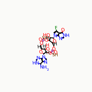 NC1NC=Nc2c1ncn2[C@@H]1O[C@@H]2COP(=O)(S)O[C@H]3[C@@H](O)[C@H](n4cc(F)c5c(=O)[nH]cnc54)O[C@@H]3COP(=O)(S)O[C@@H]1[C@@H]2O